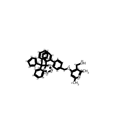 Cc1cc(OCc2ccc(-c3ccccc3C3(C(c4ccccc4)(c4ccccc4)c4ccccc4)N=NN=N3)cc2)c(CO)c(C)n1